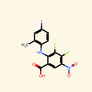 Cc1cc(I)ccc1Nc1c(C(=O)O)cc([N+](=O)[O-])c(F)c1F